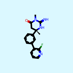 CN1C(=N)N[C@](C)(c2cccc(-c3cccnc3F)c2)CC1=O